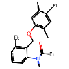 CCC(=O)N(C)c1cccc(CC)c1COc1cc(C)c(CC)cc1C